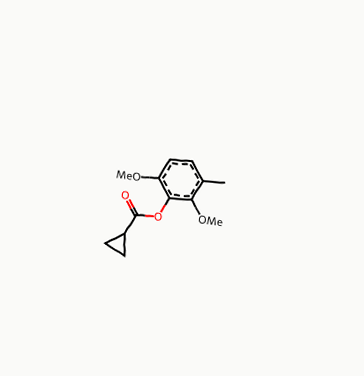 COc1ccc(C)c(OC)c1OC(=O)C1CC1